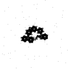 CCc1nc2ccccc2n1-c1cccc(-c2ccc3oc4ccc(-n5c6ccccc6c6ccccc65)cc4c3c2)c1